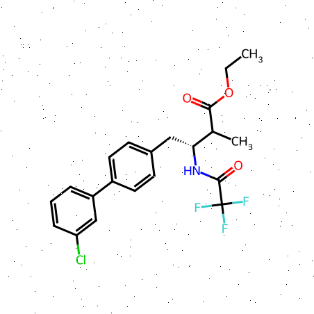 CCOC(=O)C(C)[C@@H](Cc1ccc(-c2cccc(Cl)c2)cc1)NC(=O)C(F)(F)F